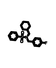 O=S(=O)(c1ccccc1)N(Cc1ccc(F)cc1)CC1CC[CH]CC1